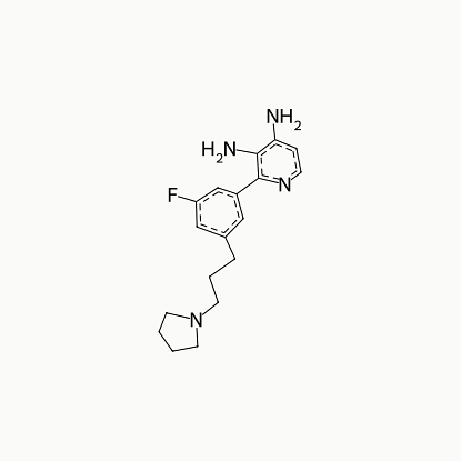 Nc1ccnc(-c2cc(F)cc(CCCN3CCCC3)c2)c1N